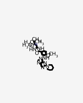 CO/C(=C\C(=N)NC(=O)c1ccc(OC)c(Nc2ncnc3cnc(N4CCCCCC4)nc23)c1)C(C)(C)C